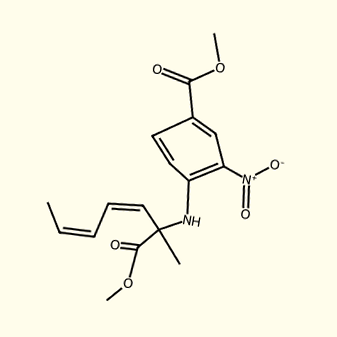 C/C=C\C=C/C(C)(Nc1ccc(C(=O)OC)cc1[N+](=O)[O-])C(=O)OC